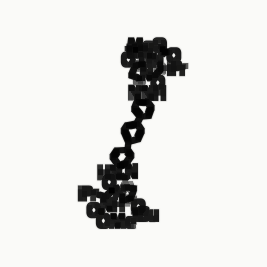 COC(=O)NC(C(=O)N1C[C@H](OC(C)(C)C)C[C@H]1c1nc2cc(-c3ccc(-c4ccc5[nH]c([C@@H]6C[C@@H](OC(C)(C)C)CN6C(=O)[C@@H](NC(=O)OC)C(C)C)nc5c4)cc3)ccc2[nH]1)C(C)C